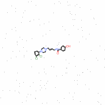 O=C(NCC=CCN1CCN(c2cccc(Cl)c2Cl)CC1)c1ccc(O)cc1